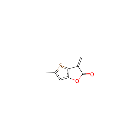 C=C1C(=O)Oc2cc(C)sc21